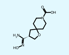 NC(=NO)[C@H]1COC2(CCN(C(=O)O)CC2)C1